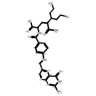 NCCC(CCN)C(CC(NC(=O)c1ccc(NCc2cnc3nc(N)[nH]c(=O)c3n2)cc1)C(=O)O)C(=O)O